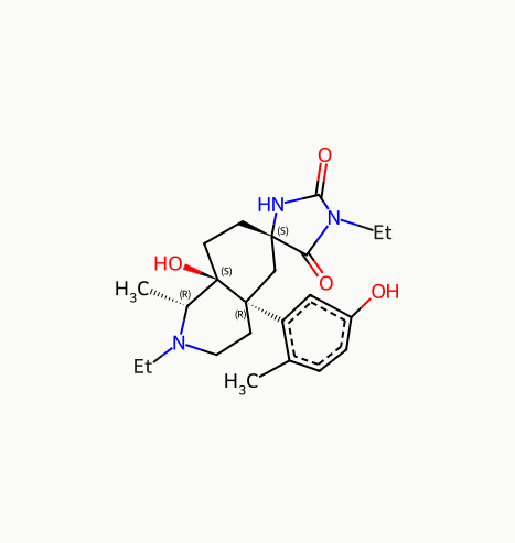 CCN1C(=O)N[C@]2(CC[C@@]3(O)[C@@H](C)N(CC)CC[C@]3(c3cc(O)ccc3C)C2)C1=O